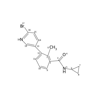 Cc1c(C(=O)NC2CC2)cccc1-c1ccc(Br)nc1